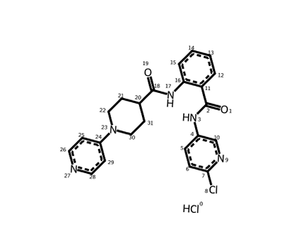 Cl.O=C(Nc1ccc(Cl)nc1)c1ccccc1NC(=O)C1CCN(c2ccncc2)CC1